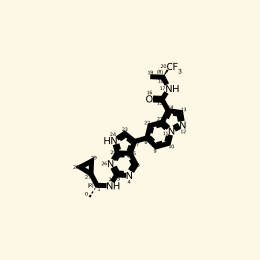 C[C@@H](Nc1ncc2c(-c3ccn4ncc(C(=O)N[C@H](C)C(F)(F)F)c4c3)c[nH]c2n1)C1CC1